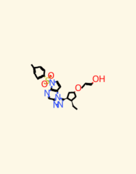 CC[C@@H]1C[C@@H](OCC=CO)C[C@@H]1c1nnc2cnc3c(ccn3S(=O)(=O)c3ccc(C)cc3)n12